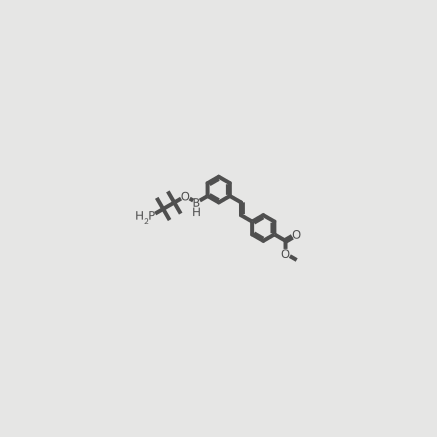 COC(=O)c1ccc(/C=C/c2cccc(BOC(C)(C)C(C)(C)P)c2)cc1